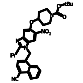 CC(C)c1nc2cc(OC3CCN(C(=O)OC(C)(C)C)CC3)c([N+](=O)[O-])cc2n1Cc1ccc(C#N)c2ccccc12